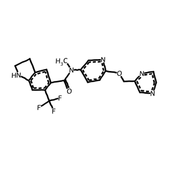 CN(C(=O)c1cc2c(cc1C(F)(F)F)NCC2)c1ccc(OCc2cnccn2)nc1